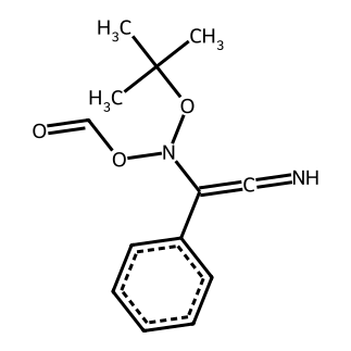 CC(C)(C)ON(OC=O)C(=C=N)c1ccccc1